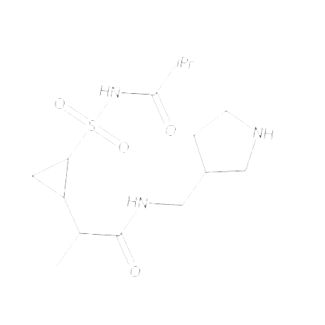 CC(C)C(=O)NS(=O)(=O)C1CC1C(C)C(=O)NCC1CCNC1